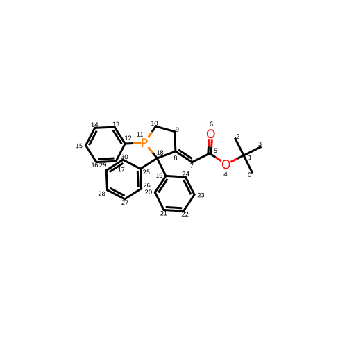 CC(C)(C)OC(=O)C=C1CCP(c2ccccc2)C1(c1ccccc1)c1ccccc1